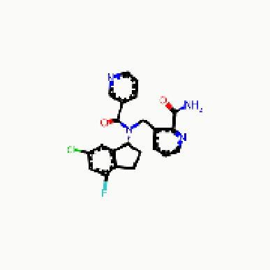 NC(=O)c1ncccc1CN(C(=O)c1cccnc1)[C@@H]1CCc2c(F)cc(Cl)cc21